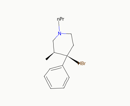 Br.CCCN1CC[C@](C)(c2ccccc2)[C@@H](C)C1